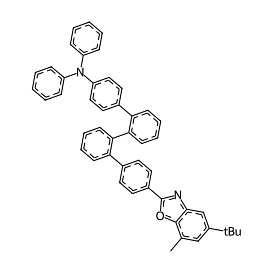 Cc1cc(C(C)(C)C)cc2nc(-c3ccc(-c4ccccc4-c4ccccc4-c4ccc(N(c5ccccc5)c5ccccc5)cc4)cc3)oc12